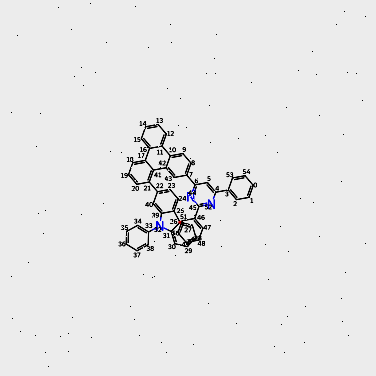 c1ccc(-c2cc(-c3ccc4c5ccccc5c5cccc(-c6ccc7c8ccccc8n(-c8ccccc8)c7c6)c5c4c3)nc(-c3ccccc3)n2)cc1